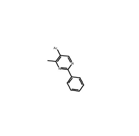 CC(=O)c1cnc(-c2ccccc2)nc1C